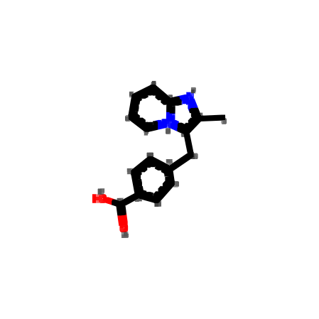 Cc1nc2ccccn2c1Cc1ccc(C(=O)O)cc1